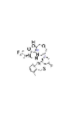 Cc1cccc2c1CSc1c(F)cccc1[C@H]2N1CN([C@H](C)C(F)(F)F)C(=O)/C2=C(\O)COC/C=C\N21